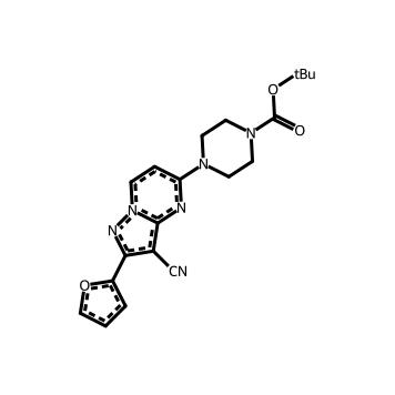 CC(C)(C)OC(=O)N1CCN(c2ccn3nc(-c4ccco4)c(C#N)c3n2)CC1